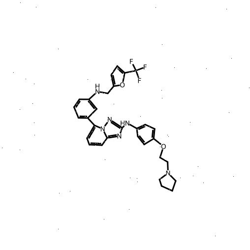 FC(F)(F)c1ccc(CNc2cccc(-c3cccc4nc(Nc5ccc(OCCN6CCCC6)cc5)nn34)c2)o1